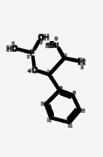 CCCCC(CC)C(OP(O)O)c1ccccc1